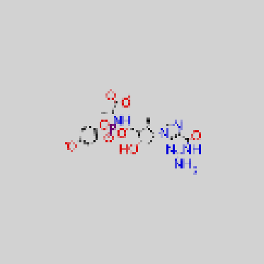 C=C1[C@H](CO[P@@](=O)(NC(C)C(=O)OC)Oc2ccc(OC)cc2)[C@@H](O)C[C@@H]1n1cnc2c(=O)[nH]c(N)nc21